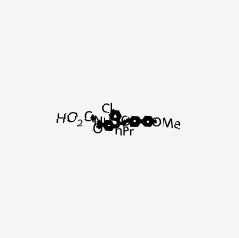 CCCC(c1ccc(C(=O)NCCC(=O)O)cc1)C(COc1ccc(-c2ccc(OC)cc2)cc1)C1C=CC(Cl)=CC1